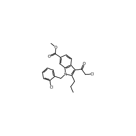 CCCc1c(C(=O)CCl)c2ccc(C(=O)OC)cc2n1Cc1ccccc1Cl